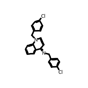 Clc1ccc(CN=c2ccn(Cc3ccc(Cl)cc3)c3ccccc23)cc1